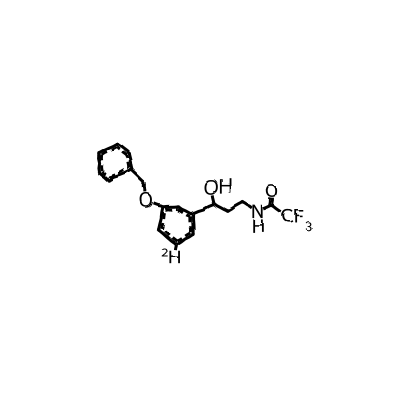 [2H]c1cc(OCc2ccccc2)cc(C(O)CCNC(=O)C(F)(F)F)c1